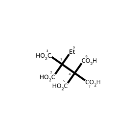 CCC(C(=O)O)(C(=O)O)C(C(=O)O)(C(=O)O)C(=O)O